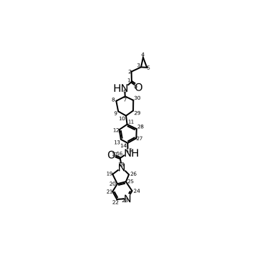 O=C(CC1CC1)NC1CCC(c2ccc(NC(=O)N3Cc4ccncc4C3)cc2)CC1